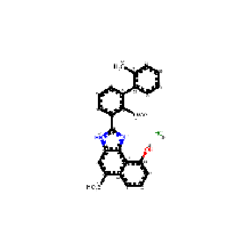 COc1c(-c2nc3c(cc(S(=O)(=O)O)c4cccc(O)c43)[nH]2)cccc1-c1ccccc1C.Cl